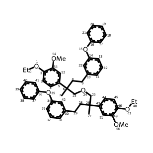 CCOc1ccc(C(C)(CCc2cccc(Oc3ccccc3)c2)COCC(C)(CCc2cccc(Oc3ccccc3)c2)c2ccc(OCC)c(OC)c2)cc1OC